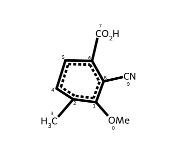 COc1c(C)ccc(C(=O)O)c1C#N